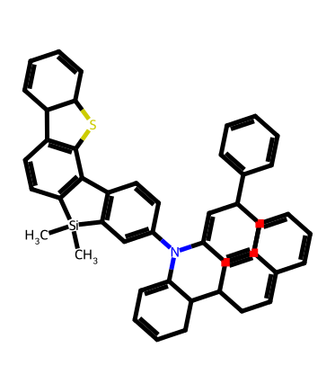 C[Si]1(C)c2cc(N(C3=CC(c4ccccc4)CC=C3)C3=CC=CCC3C3C=c4ccccc4=CC3)ccc2-c2c1ccc1c2SC2C=CC=CC12